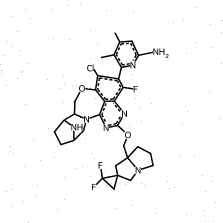 Cc1cc(N)nc(-c2c(Cl)c3c4c(nc(OCC56CCCN5CC5(C6)CC5(F)F)nc4c2F)N2CC4CCC(N4)C2CO3)c1C